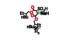 CCCCC(CC)COC(=O)CC(C(=O)OCC(CC)CCCC)S(=O)(=O)O.Cl.[NaH].[SnH2]